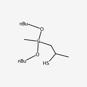 CCCCO[Si](C)(CC(C)S)OCCCC